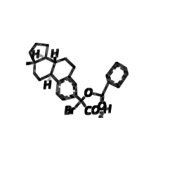 C[C@@]12CCC[C@H]1[C@@H]1CCc3cc(C(Br)(OC(=O)c4ccccc4)C(=O)O)ccc3[C@H]1CC2